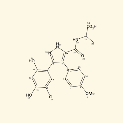 COc1ccc(-c2c(-c3cc(Cl)c(O)cc3O)n[nH]c2C(=O)NC(C)C(=O)O)cc1